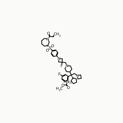 C=CC(=O)N1CCCC[C@@H](S(=O)(=O)c2ccc(N3CC(F)(CN4CCC(C(CN5CCC5)(c5cccc(F)c5)[C@H]5CCC[C@@H]5NC(=O)OC)CC4)C3)cc2)C1